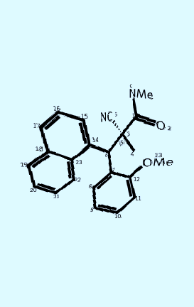 CNC(=O)[C@](C)(C#N)C(c1ccccc1OC)c1cccc2ccccc12